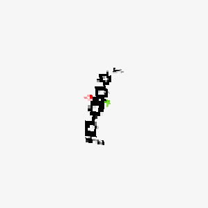 CCCCCC[C@H]1CC[C@H](C2CCC3(CC2)C(=O)C2(CCC([C@H]4CC[C@H](CCCCCC)CC4)CC2)C3F)CC1